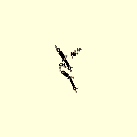 C.[H+].[Na+].[O]=[Al][O-].[O]=[Al][O-]